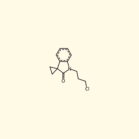 O=C1N(CCCCl)c2ccccc2C12CC2